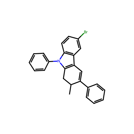 CC1Cc2c(c3cc(Br)ccc3n2-c2ccccc2)C=C1c1ccccc1